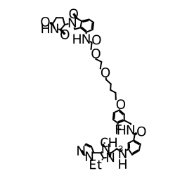 CC[C@@H]1N=C(CNc2cccc(C(=O)NCc3cc(OCCCCCOCCCOCC(=O)Nc4cccc5c4CN(C4CCC(=O)NC4=O)C5=O)ccc3F)c2)N(C)C1c1ccncn1